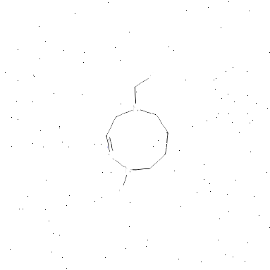 CCN1C/C=N\N(C)CCCC1